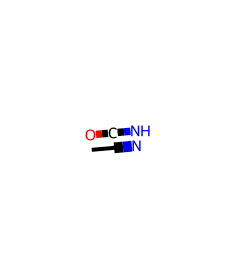 CC#N.N=C=O